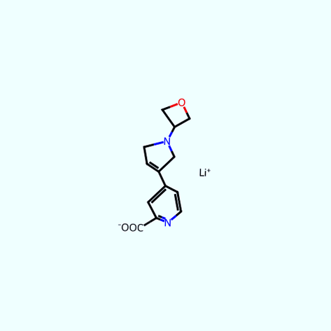 O=C([O-])c1cc(C2=CCN(C3COC3)C2)ccn1.[Li+]